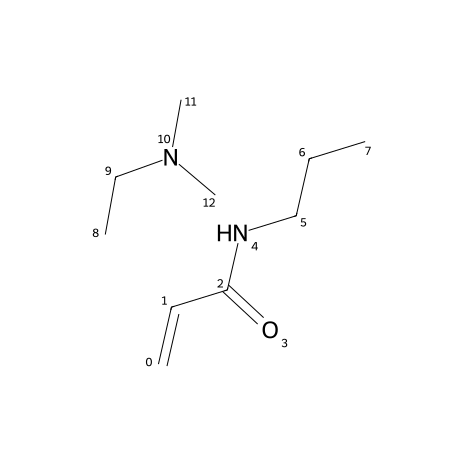 C=CC(=O)NCCC.CCN(C)C